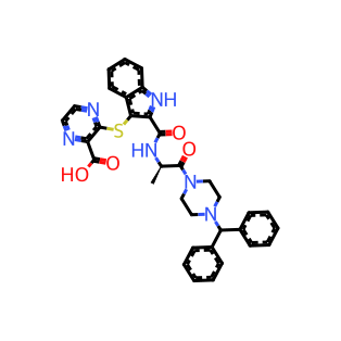 C[C@@H](NC(=O)c1[nH]c2ccccc2c1Sc1nccnc1C(=O)O)C(=O)N1CCN(C(c2ccccc2)c2ccccc2)CC1